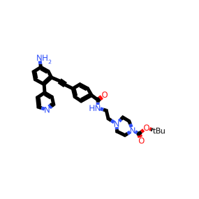 CC(C)(C)OC(=O)N1CCN(CCNC(=O)c2ccc(C#Cc3cc(N)ccc3-c3ccncc3)cc2)CC1